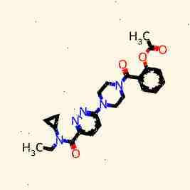 CCN(C(=O)c1ccc(N2CCN(C(=O)c3ccccc3OC(C)=O)CC2)nn1)C1CC1